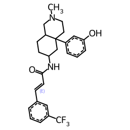 CN1CCC2(c3cccc(O)c3)CC(NC(=O)/C=C/c3cccc(C(F)(F)F)c3)CCC2C1